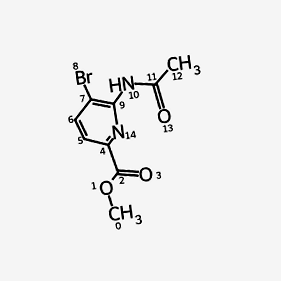 COC(=O)c1ccc(Br)c(NC(C)=O)n1